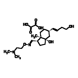 CN(C)CCON=C[C@H]1CC[C@]2(O)C[C@@H](C=CCCO)CC[C@]12C.O=C(O)C(=O)O